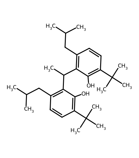 CC(C)Cc1ccc(C(C)(C)C)c(O)c1C(C)c1c(CC(C)C)ccc(C(C)(C)C)c1O